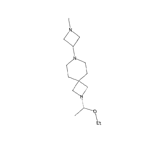 CCOC(C)N1CC2(CCN(C3CN(C)C3)CC2)C1